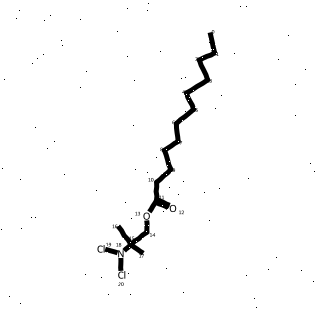 CCCCCCCCCCCC(=O)OCC(C)(C)N(Cl)Cl